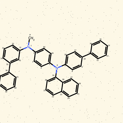 CN(c1ccc(N(c2ccc(-c3ccccc3)cc2)c2cccc3ccccc23)cc1)c1cccc(-c2ccccc2)c1